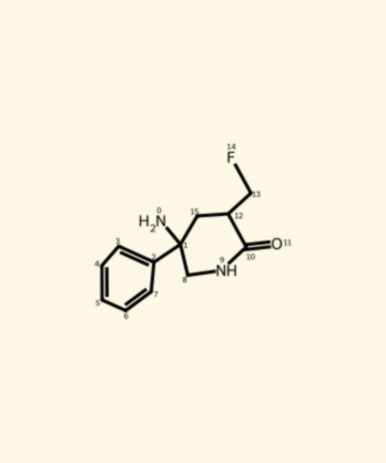 NC1(c2ccccc2)CNC(=O)C(CF)C1